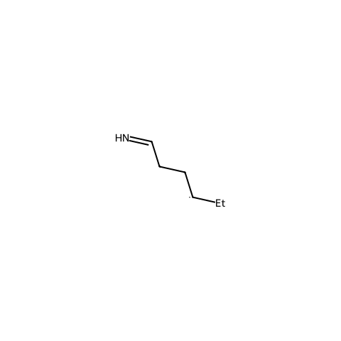 CC[CH]CCC=N